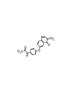 Cn1cnc2ccc(Oc3ccc(NC(=O)C(Cl)(Cl)Cl)cc3)cc2c1=O